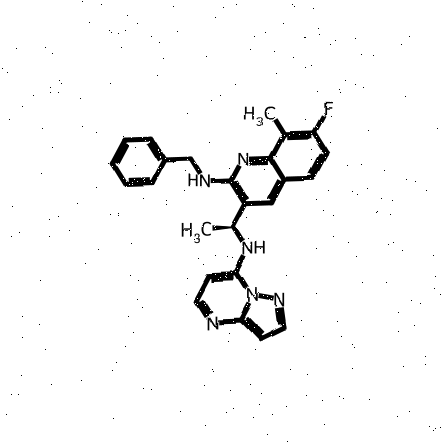 Cc1c(F)ccc2cc([C@H](C)Nc3ccnc4ccnn34)c(NCc3ccccc3)nc12